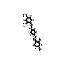 Fc1ccc(/N=C/c2ccc(OCc3ccc(Cl)cc3Cl)cc2)c(F)c1